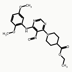 CCOC(=O)C1CCN(c2ncnc(Nc3cc(OC)ccc3OC)c2N=O)CC1